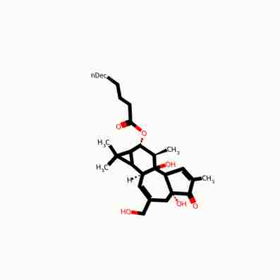 CCCCCCCCCCCCCC(=O)O[C@H]1C2C([C@@H]3C=C(CO)C[C@]4(O)C(=O)C(C)=CC4C3(O)[C@@H]1C)C2(C)C